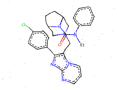 CCN(C(=O)N1C2CCC1CN(Cc1c(-c3ccc(Cl)cc3)nc3ncccn13)C2)c1ccccc1